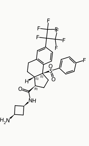 N[C@H]1C[C@@H](NC(=O)[C@@H]2CC[C@@]3(S(=O)(=O)c4ccc(F)cc4)c4ccc(C(F)(C(F)(F)F)C(F)(F)F)cc4CC[C@@H]23)C1